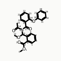 COC(=O)c1ccccc1C(OC)N(C(C)=O)C(=O)c1ccccc1Oc1ccccc1